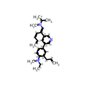 C=C/C=C\C(=C/N(C)C(C)C)c1cncc(-c2ccc(N(C)CC)c(CC=C)c2)c1